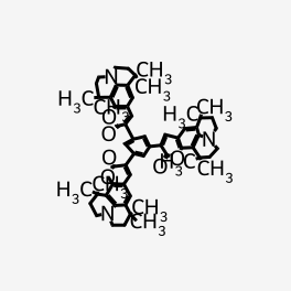 CC1(C)CCN2CCC(C)(C)c3c2c1cc1cc(-c2cc(-c4cc5cc6c7c(c5oc4=O)C(C)(C)CCN7CCC6(C)C)cc(-c4cc5cc6c7c(c5oc4=O)C(C)(C)CCN7CCC6(C)C)c2)c(=O)oc31